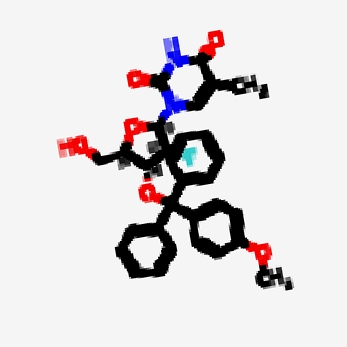 COc1ccc(C(O[C@H]2[C@@H](F)[C@H](n3cc(C)c(=O)[nH]c3=O)O[C@@H]2CO)(c2ccccc2)c2ccccc2)cc1